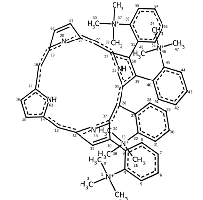 C[N+](C)(C)c1ccccc1C1=Cc2cc3ccc(cc4nc(cc5[nH]c(c(-c6ccccc6[N+](C)(C)C)c1n2)c(-c1ccccc1[N+](C)(C)C)c5-c1ccccc1[N+](C)(C)C)C=C4)[nH]3